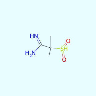 CC(C)(C(=N)N)[SH](=O)=O